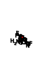 CN1C(=O)C(c2cc(C(F)F)ccn2)(c2cc(-c3cncc(F)c3)ccc2F)N=C1N